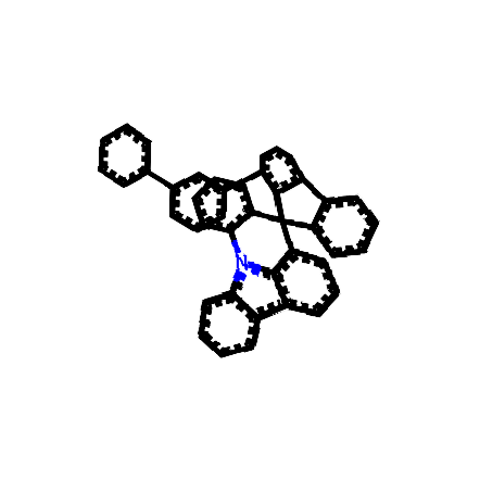 c1ccc(-c2cccc(-c3cccc4c3C3(c5ccccc5-4)c4ccccc4-n4c5ccccc5c5cccc3c54)c2)cc1